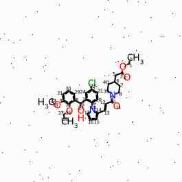 CCOC(=O)CC1CCN(C(=O)/C=C/c2cccn2-c2ccc(Cl)cc2C(O)c2cccc(OC)c2OCC)CC1